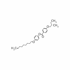 C=CCCCCCCCOc1ccc(OC(=O)c2ccc(OC[C@@H](C)CC)cc2)cc1